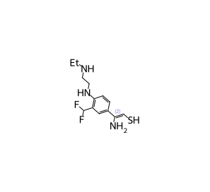 CCNCCNc1ccc(/C(N)=C/S)cc1C(F)F